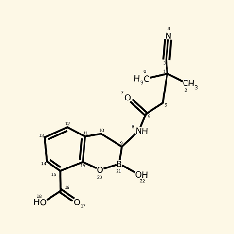 CC(C)(C#N)CC(=O)NC1Cc2cccc(C(=O)O)c2OB1O